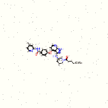 COCCCC(=O)N1CCC[C@@H](Nc2n[nH]c3nccc(Oc4ccc(C(=O)Nc5cc(C)ccn5)cc4)c23)C1